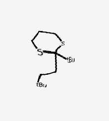 CC(C)(C)CCC1(C(C)(C)C)SCCCS1